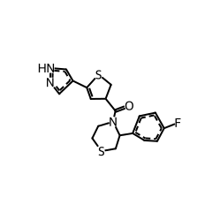 O=C(C1C=C(c2cn[nH]c2)SC1)N1CCSCC1c1ccc(F)cc1